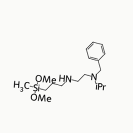 CO[Si](C)(CCCNCCN(Cc1ccccc1)C(C)C)OC